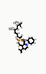 C=C(C)C(/C=C\[N+](=C)C1=C(C(C)C)CC=CC=C1)C1=CC[PH](C)(C(=C)CC=CC(C#N)CCC(C)(C)CCC)CC=C1